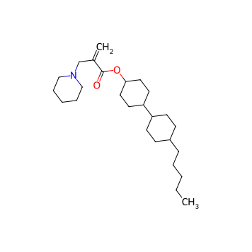 C=C(CN1CCCCC1)C(=O)OC1CCC(C2CCC(CCCCC)CC2)CC1